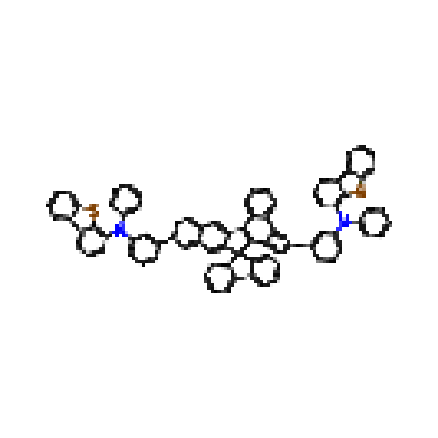 c1ccc(N(c2cccc(-c3ccc4cc5c(cc4c3)C3(c4ccccc4-c4ccccc43)c3c-5c4ccccc4c4cc(-c5cccc(N(c6ccccc6)c6cccc7c6sc6ccccc67)c5)ccc34)c2)c2cccc3c2sc2ccccc23)cc1